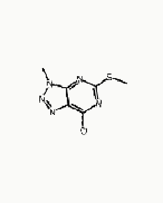 CSc1nc(Cl)c2nnn(C)c2n1